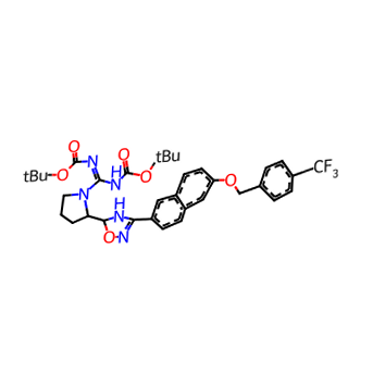 CC(C)(C)OC(=O)N=C(NC(=O)OC(C)(C)C)N1CCCC1C1NC(c2ccc3cc(OCc4ccc(C(F)(F)F)cc4)ccc3c2)=NO1